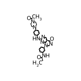 C=CC(=O)Nc1cccc(-n2cnc(=O)c3cnc(Nc4ccc(N5CCN(C(C)=O)CC5)cc4)nc32)c1